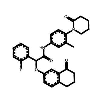 Cc1cc(NC(=O)C(Oc2ccc3c(c2)C(=O)CCC3)c2ccccc2F)ccc1N1CCCCC1=O